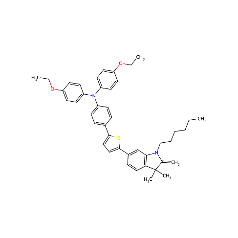 C=C1N(CCCCCC)c2cc(-c3ccc(-c4ccc(N(c5ccc(OCC)cc5)c5ccc(OCC)cc5)cc4)s3)ccc2C1(C)C